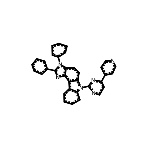 c1ccc(-c2nc3c4c5ccccc5n(-c5nccc(-c6ccncc6)n5)c4ccc3n2-c2ccccc2)cc1